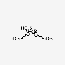 CCCCCCCCCCCCCCOC(=O)CC(NS(=O)(=O)O)C(=O)OCCCCCCCCCCCCCC